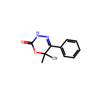 CC1(C#N)OC(=O)NN=C1c1ccccc1